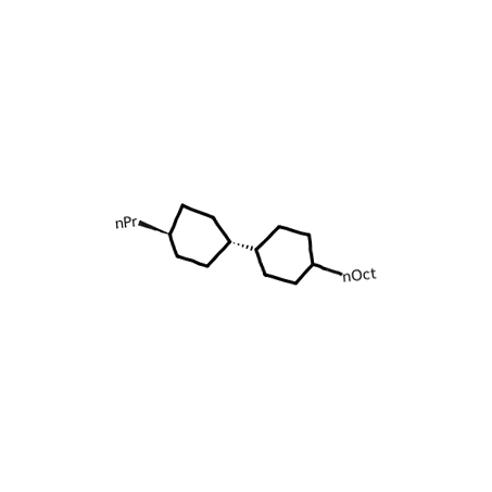 CCCCCCCCC1CCC([C@H]2CC[C@H](CCC)CC2)CC1